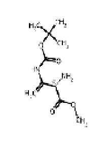 C=C(NC(=O)OC(C)(C)C)[C@H](N)C(=O)OC